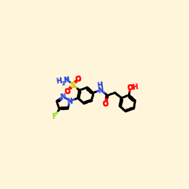 NS(=O)(=O)c1cc(NC(=O)Cc2ccccc2O)ccc1-n1cc(F)cn1